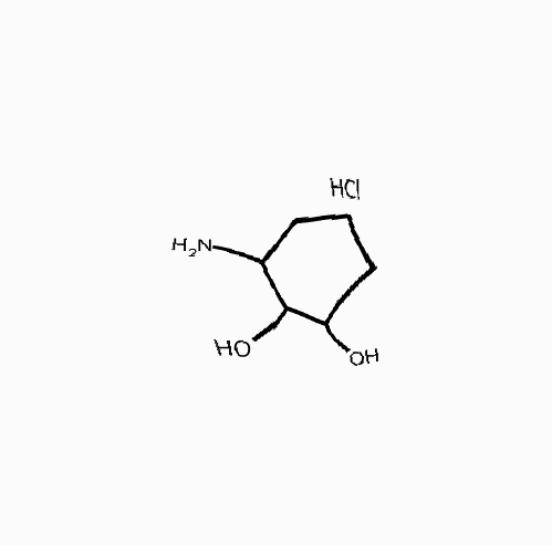 Cl.NC1CCCC(O)C1O